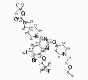 CCOCCN1CCC(Oc2nc(N3CCC4(CC3)CN(C(=O)OC(C)(C)C)C4)c3cc(I)c(Br)c(OCC(F)(F)F)c3n2)CC1